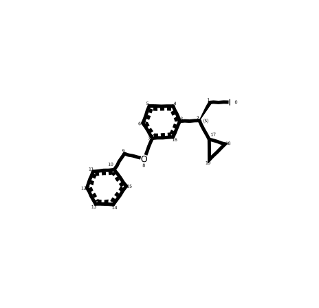 IC[C@H](c1cccc(OCc2ccccc2)c1)C1CC1